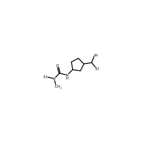 CCC(C(C)C)C1CCC(NC(=O)N(C)CC)C1